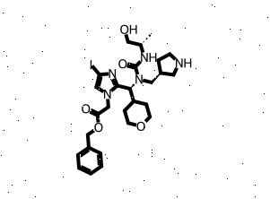 C[C@@H](CO)NC(=O)N(C[C@H]1CCNC1)[C@@H](c1nc(I)cn1CC(=O)OCc1ccccc1)C1CCOCC1